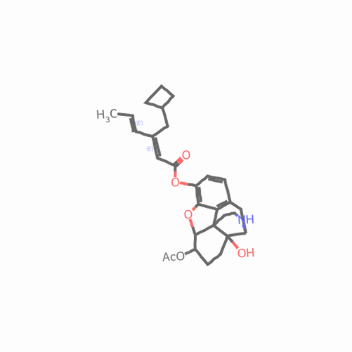 C/C=C/C(=C/C(=O)Oc1ccc2c3c1OC1C(OC(C)=O)CCC4(O)C(C2)NCCC314)CC1CCC1